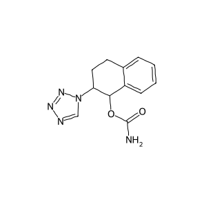 NC(=O)OC1c2ccccc2CCC1n1cnnn1